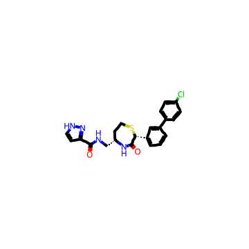 O=C(NC[C@@H]1CCS[C@H](c2cccc(-c3ccc(Cl)cc3)c2)C(=O)N1)c1cc[nH]n1